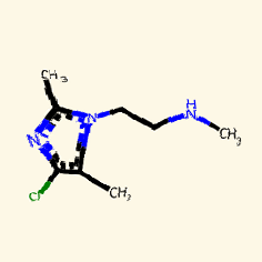 CNCCn1c(C)nc(Cl)c1C